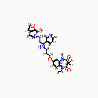 CCN1C(=O)C(C)(C)C(=O)N(C)c2cc(OCCCNC(CCn3ccc4ccoc4c3=O)c3cccnc3)ccc21